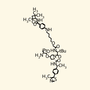 Cc1ncsc1-c1ccc([C@H](C)NC(=O)[C@@H]2C[C@@H](OC(=O)C(N)C(C)C)CN2C(=O)[C@@H](NC(=O)COCCCCCNc2ccc(C(=O)NC3C(C)(C)CC3(C)C)cc2)C(C)(C)C)cc1